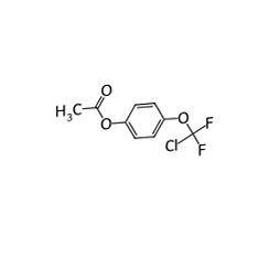 CC(=O)Oc1ccc(OC(F)(F)Cl)cc1